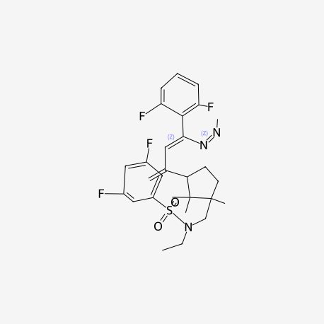 C=C(/C=C(\N=N/C)c1c(F)cccc1F)C1CCC(C)(CN(CC)S(=O)(=O)c2cc(F)cc(F)c2)C1(C)C